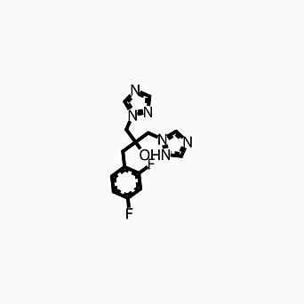 OC(Cc1ccc(F)cc1F)(Cn1cncn1)Cn1cncn1